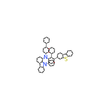 c1ccc(-c2ccc(N(c3cccc(-c4ccc5c(c4)sc4ccccc45)c3-c3ccccc3)c3cccc4c5ccccc5n(-c5ccccc5)c34)cc2)cc1